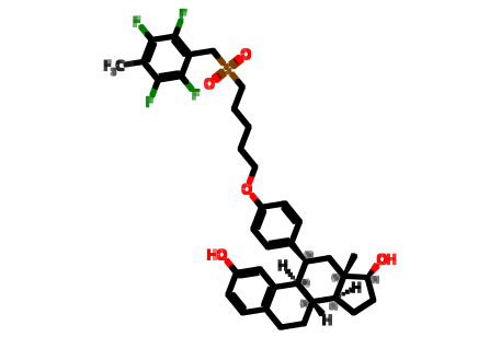 C[C@]12C[C@H](c3ccc(OCCCCCS(=O)(=O)Cc4c(F)c(F)c(C(F)(F)F)c(F)c4F)cc3)[C@@H]3c4cc(O)ccc4CC[C@H]3[C@@H]1CC[C@@H]2O